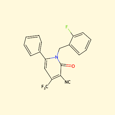 [C-]#[N+]c1c(C(F)(F)F)cc(-c2ccccc2)n(Cc2ccccc2F)c1=O